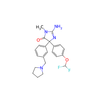 CN1C(=O)C(c2ccc(OC(F)F)cc2)(c2cccc(CN3CCCC3)c2)N=C1N